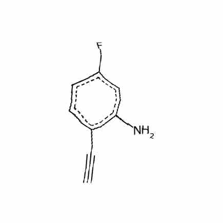 C#Cc1ccc(F)cc1N